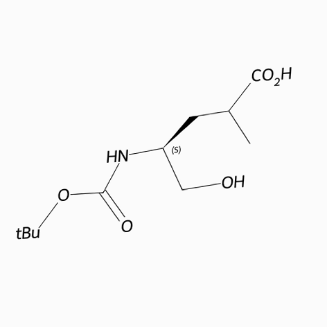 CC(C[C@@H](CO)NC(=O)OC(C)(C)C)C(=O)O